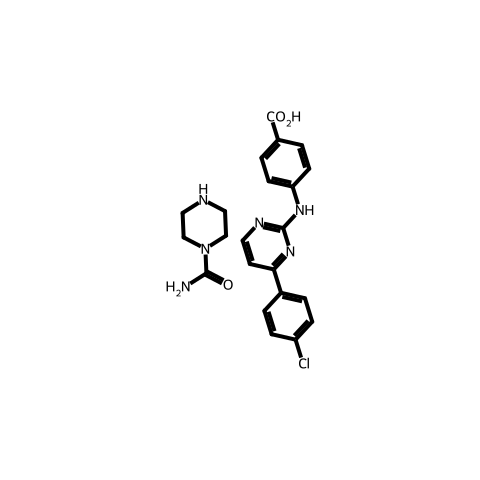 NC(=O)N1CCNCC1.O=C(O)c1ccc(Nc2nccc(-c3ccc(Cl)cc3)n2)cc1